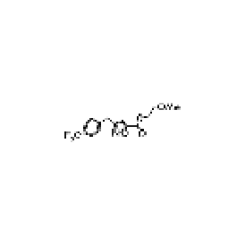 COCCOC(=O)c1cc(Cc2ccc(C(F)(F)F)cc2)no1